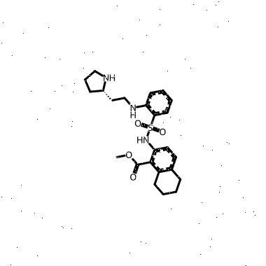 COC(=O)c1c(NS(=O)(=O)c2ccccc2NCC[C@@H]2CCCN2)ccc2c1CCCC2